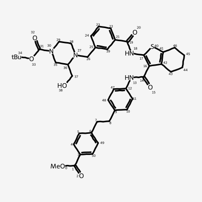 COC(=O)c1ccc(CCc2ccc(NC(=O)c3c(NC(=O)c4cccc(CN5CCN(C(=O)OC(C)(C)C)CC5CO)c4)sc4c3CCCC4)cc2)cc1